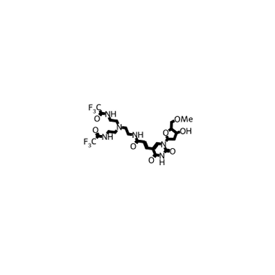 COCC1OC(n2cc(/C=C/C(=O)NCCN(CCNC(=O)C(F)(F)F)CCNC(=O)C(F)(F)F)c(=O)[nH]c2=O)CC1O